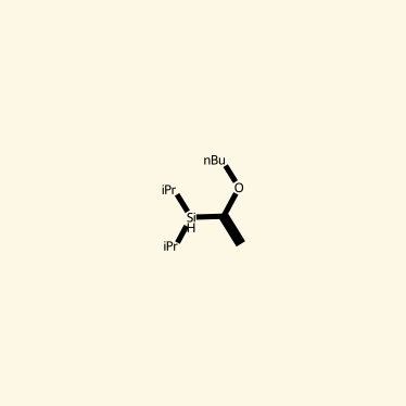 C=C(OCCCC)[SiH](C(C)C)C(C)C